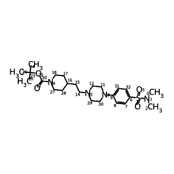 CN(C)S(=O)(=O)c1ccc(N2CCN(CCC3CCN(C(=O)OC(C)(C)C)CC3)CC2)cc1